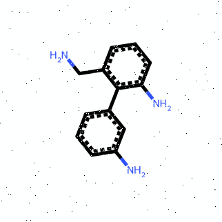 NCc1cccc(N)c1-c1cccc(N)c1